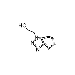 OCCn1nnc2c[c]ccc21